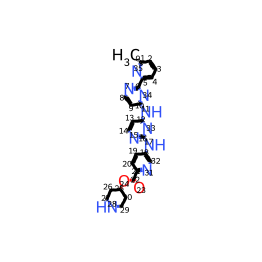 Cc1cccc(-c2nccc(Nc3ccnc(Nc4ccc(C(=O)OC5CCNCC5)nc4)n3)n2)n1